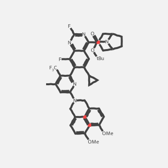 COc1ccc(CN(Cc2ccc(OC)cc2)c2cc(C)c(C(F)(F)F)c(-c3c(C4CC4)cc4c(N5CC6CCC(C5)N6C(=O)OC(C)(C)C)nc(F)nc4c3F)n2)cc1